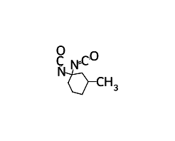 CC1CCCC(N=C=O)(N=C=O)C1